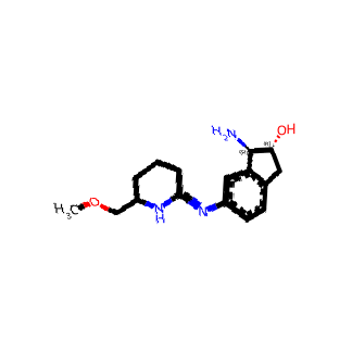 COCC1CCCC(=Nc2ccc3c(c2)[C@@H](N)[C@H](O)C3)N1